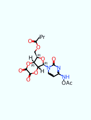 CC(=O)ONc1ccn([C@@H]2O[C@H](COC(=O)C(C)C)[C@H]3OC(=O)C(=O)O[C@H]32)c(=O)n1